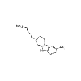 Nc1ccc2[nH]c3c(c2c1)CCN(CCCCS(=O)(=O)O)C3